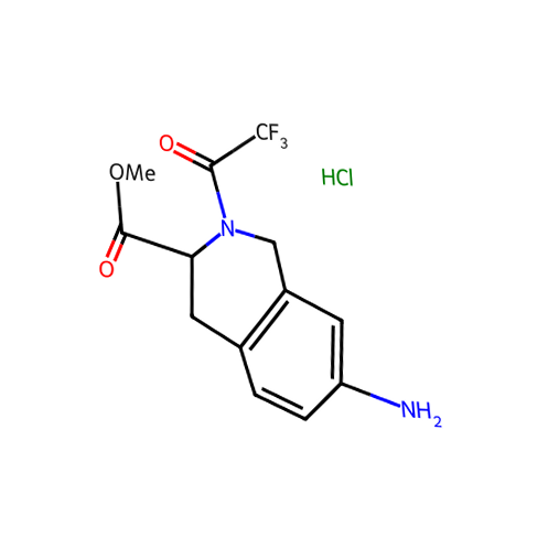 COC(=O)C1Cc2ccc(N)cc2CN1C(=O)C(F)(F)F.Cl